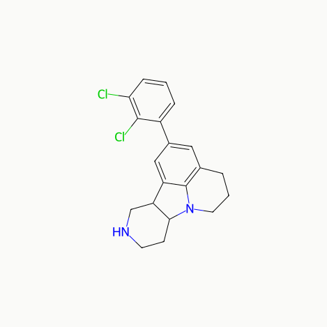 Clc1cccc(-c2cc3c4c(c2)C2CNCCC2N4CCC3)c1Cl